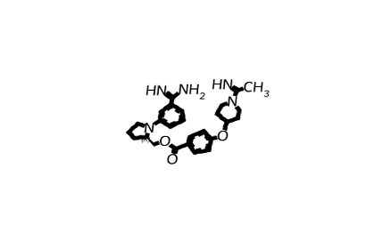 CC(=N)N1CCC(Oc2ccc(C(=O)OC[C@H]3CCCN3c3cccc(C(=N)N)c3)cc2)CC1